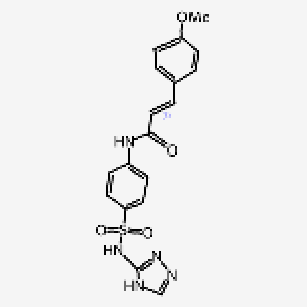 COc1ccc(/C=C/C(=O)Nc2ccc(S(=O)(=O)Nc3nnc[nH]3)cc2)cc1